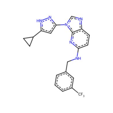 FC(F)(F)c1cccc(CNc2ccc3ncn(-c4cc(C5CC5)[nH]n4)c3n2)c1